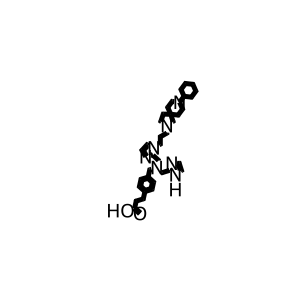 O=C(O)CCc1ccc(CN(Cc2ncc[nH]2)Cc2nccn2CCCN2CCC3(CCN(C4CCCCC4)CC3)C2)cc1